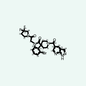 O=C(CN1C(=O)C2(CCN(C(=O)c3cnc4[nH]ncc4c3)CC2)c2c(Br)cccc21)N1CCC(F)(F)C1